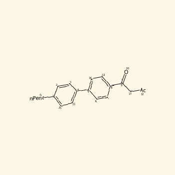 CCCCCc1ccc(-c2ccc(C(=O)CC(C)=O)cc2)cc1